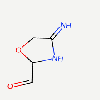 N=C1COC(C=O)N1